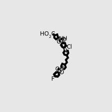 O=C(O)C1CCC(NS(=O)(=O)c2ccc(N3CCC(CCCC4CCN(S(=O)(=O)c5ccc(F)cc5)CC4)CC3)c(Cl)c2)C1